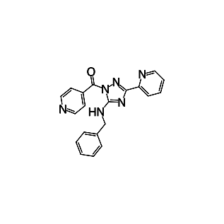 O=C(c1ccncc1)n1nc(-c2ccccn2)nc1NCc1ccccc1